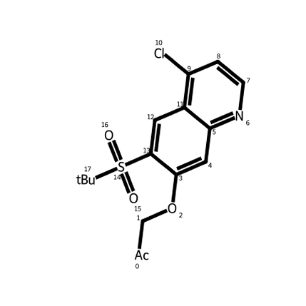 CC(=O)COc1cc2nccc(Cl)c2cc1S(=O)(=O)C(C)(C)C